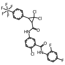 O=C(Nc1ccc(F)cc1F)c1cc(NC(=O)C2C(c3ccc(S(F)(F)(F)(F)F)cc3)C2(Cl)Cl)ccc1Cl